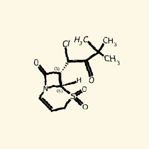 CC(C)(C)C(=O)C(Cl)[C@H]1C(=O)N2C=CCS(=O)(=O)[C@@H]12